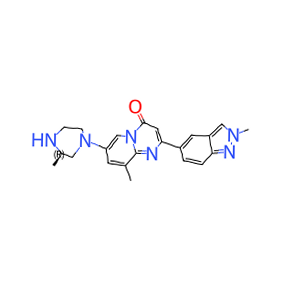 Cc1cc(N2CCN[C@H](C)C2)cn2c(=O)cc(-c3ccc4nn(C)cc4c3)nc12